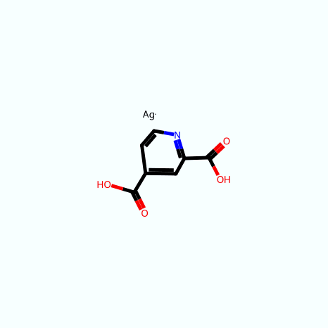 O=C(O)c1ccnc(C(=O)O)c1.[Ag]